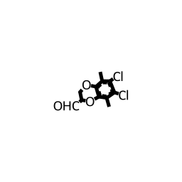 Cc1c(Cl)c(Cl)c(C)c2c1OCC(C=O)O2